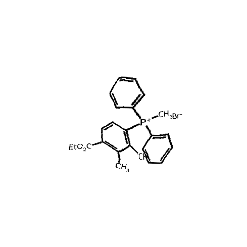 CCOC(=O)c1ccc([P+](C)(c2ccccc2)c2ccccc2)c(C)c1C.[Br-]